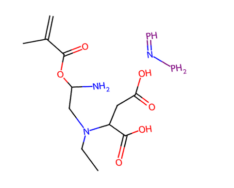 C=C(C)C(=O)OC(N)CN(CC)C(CC(=O)O)C(=O)O.P=NP